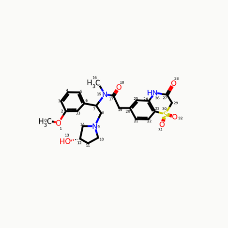 COc1cccc(C(CN2CC[C@H](O)C2)N(C)C(=O)Cc2ccc3c(c2)NC(=O)CS3(=O)=O)c1